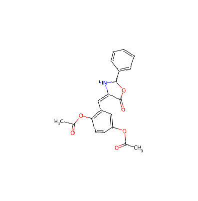 CC(=O)Oc1ccc(OC(C)=O)c(/C=C2/NC(c3ccccc3)OC2=O)c1